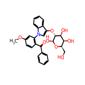 COc1ccc(C(=O)c2ccccc2)c(-n2cc(O[C@@H]3[C@@H](O)[C@@H](O)[C@@H](CO)O[C@H]3O)c3ccccc32)c1